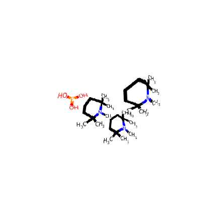 CN1C(C)(C)CCCC1(C)C.CN1C(C)(C)CCCC1(C)C.CN1C(C)(C)CCCC1(C)C.OP(O)O